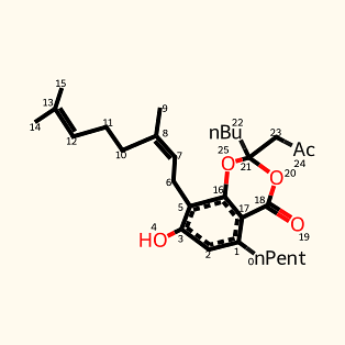 CCCCCc1cc(O)c(CC=C(C)CCC=C(C)C)c2c1C(=O)OC(CCCC)(CC(C)=O)O2